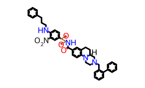 O=C(NS(=O)(=O)c1ccc(NCCCc2ccccc2)c([N+](=O)[O-])c1)c1ccc2c(c1)CC[C@H]1CN(Cc3ccccc3-c3ccccc3)CCN21